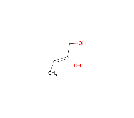 CC=C(O)CO